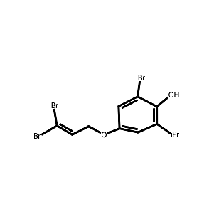 CC(C)c1cc(OCC=C(Br)Br)cc(Br)c1O